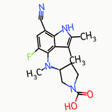 Cc1[nH]c2c(C#N)cc(F)c(N(C)[C@H]3CCN(C(=O)O)C3)c2c1C